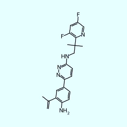 C=C(C)c1cc(-c2ccc(NCC(C)(C)c3ncc(F)cc3F)nn2)ccc1N